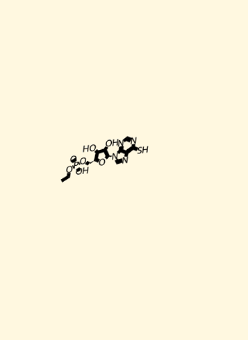 CCOP(=O)(O)OC[C@H]1O[C@@H](n2cnc3c(S)ncnc32)C(O)C1O